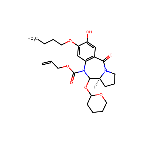 C=CCOC(=O)N1c2cc(OCCCC(=O)O)c(O)cc2C(=O)N2CCC[C@H]2C1OC1CCCCO1